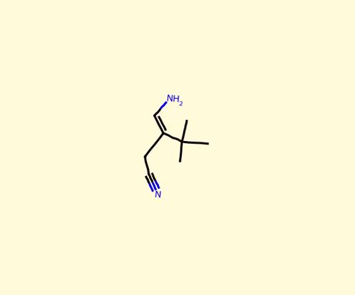 CC(C)(C)/C(=C\N)CC#N